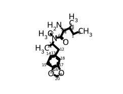 CC[C@H](C)[C@H](N)C(=O)N(C)C(C)Cc1ccc2c(c1)OCO2